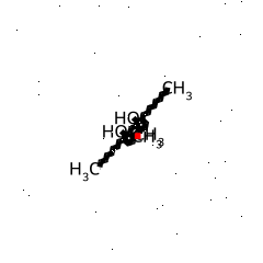 CCCCCCCCCc1ccc(C)c(Cc2c(C)ccc(CCCCCCCCC)c2O)c1O